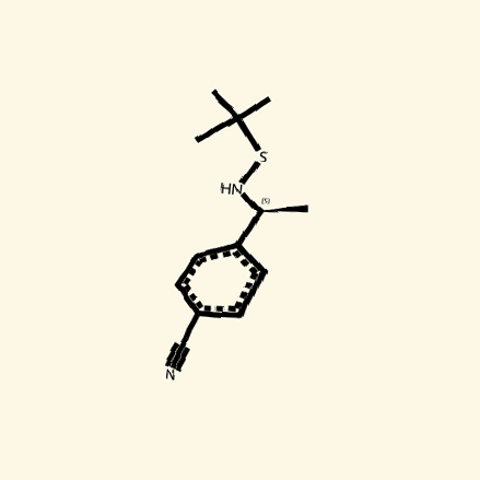 C[C@H](NSC(C)(C)C)c1ccc(C#N)cc1